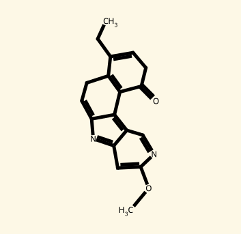 CCC1=CCC(=O)C2=C1CC=C1N=c3cc(OC)ncc3=C12